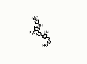 CS(=O)(=O)N1CCC(Nc2ncc(C(F)(F)F)c(-c3cn(-c4ccc(CN5CC[C@@H](O)C5)cc4C#N)cn3)n2)CC1